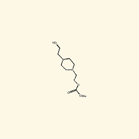 COC(=O)OCCN1CCN(CCO)CC1